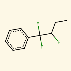 CCC(F)C(F)(F)c1cc[c]cc1